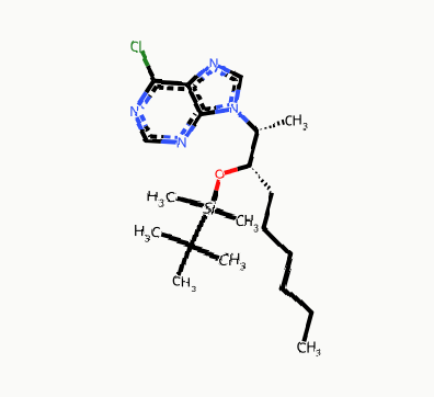 CCCCCC[C@H](O[Si](C)(C)C(C)(C)C)[C@@H](C)n1cnc2c(Cl)ncnc21